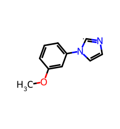 COc1cccc(-n2[c]ncc2)c1